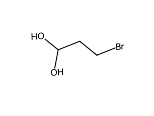 OC(O)CCBr